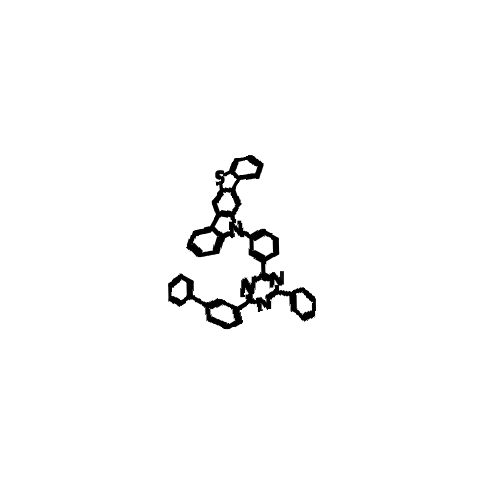 c1ccc(-c2cccc(-c3nc(-c4ccccc4)nc(-c4cccc(-n5c6ccccc6c6cc7sc8ccccc8c7cc65)c4)n3)c2)cc1